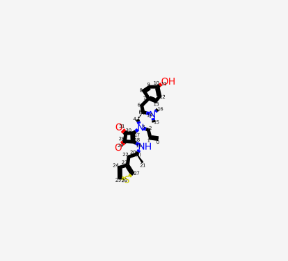 C=CCN(C[C@H](Cc1ccc(O)cc1)N(C)C)c1c(N[C@@H](C)Cc2ccsc2)c(=O)c1=O